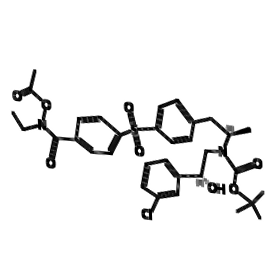 CCN(OC(C)=O)C(=O)c1ccc(S(=O)(=O)c2ccc(C[C@@H](C)N(C[C@H](O)c3cccc(Cl)c3)C(=O)OC(C)(C)C)cc2)cc1